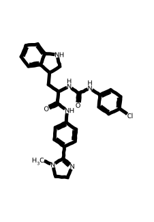 CN1CCN=C1c1ccc(NC(=O)C(CC2CNc3ccccc32)NC(=O)Nc2ccc(Cl)cc2)cc1